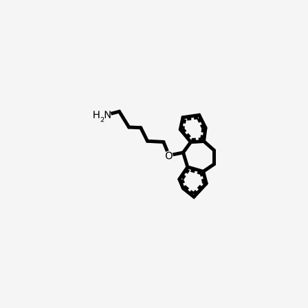 NCCCCCOC1c2ccccc2CCc2ccccc21